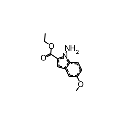 CCOC(=O)c1cc2cc(OC)ccc2n1N